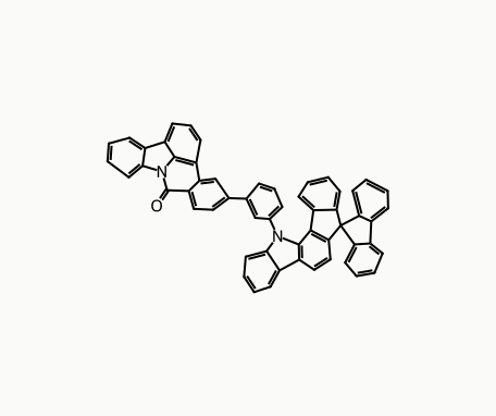 O=c1c2ccc(-c3cccc(-n4c5ccccc5c5ccc6c(c54)-c4ccccc4C64c5ccccc5-c5ccccc54)c3)cc2c2cccc3c4ccccc4n1c23